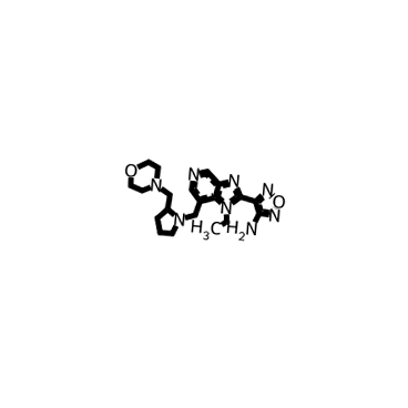 CCn1c(-c2nonc2N)nc2cncc(CN3CCCC3CN3CCOCC3)c21